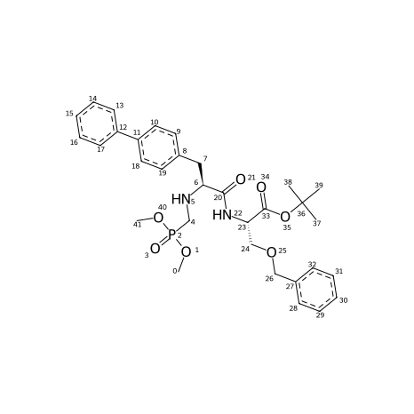 COP(=O)(CN[C@@H](Cc1ccc(-c2ccccc2)cc1)C(=O)N[C@@H](COCc1ccccc1)C(=O)OC(C)(C)C)OC